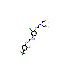 CCN(CC)CCOc1ccc(NCCOc2ccc(C(F)(F)F)cc2Cl)cc1Cl